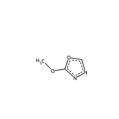 COc1nn[c]o1